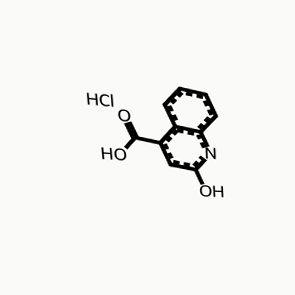 Cl.O=C(O)c1cc(O)nc2ccccc12